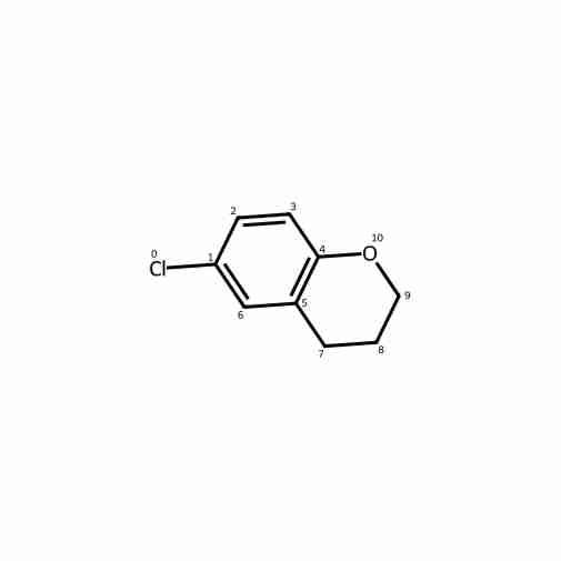 Clc1ccc2c(c1)CCCO2